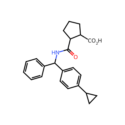 O=C(O)C1CCCC1C(=O)NC(c1ccccc1)c1ccc(C2CC2)cc1